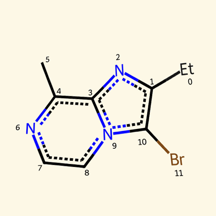 CCc1nc2c(C)nccn2c1Br